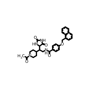 CC(=O)N1CCC(C(CNC(=O)c2ccc(OCc3cccc4ccccc34)cc2)C2NC(=O)NC2=O)CC1